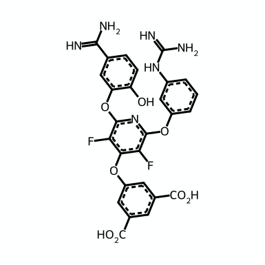 N=C(N)Nc1cccc(Oc2nc(Oc3cc(C(=N)N)ccc3O)c(F)c(Oc3cc(C(=O)O)cc(C(=O)O)c3)c2F)c1